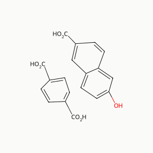 O=C(O)c1ccc(C(=O)O)cc1.O=C(O)c1ccc2cc(O)ccc2c1